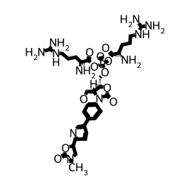 CN1CC(c2ccc(-c3ccc4c(c3)OC[C@H]3[C@H](COP(=O)(OC(=O)[C@@H](N)CCCNC(N)N)OC(=O)[C@@H](N)CCCNC(N)N)OC(=O)N43)cn2)OC1=O